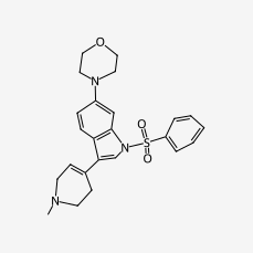 CN1CC=C(c2cn(S(=O)(=O)c3ccccc3)c3cc(N4CCOCC4)ccc23)CC1